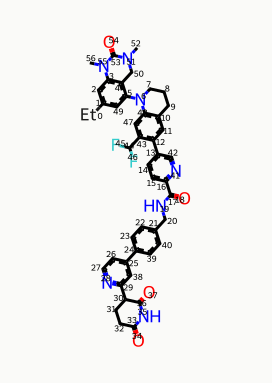 CCc1cc2c(c(N3CCCc4cc(-c5ccc(C(=O)NCc6ccc(-c7ccnc(C8CCC(=O)NC8=O)c7)cc6)nc5)c(C(F)F)cc43)c1)CN(C)C(=O)N2C